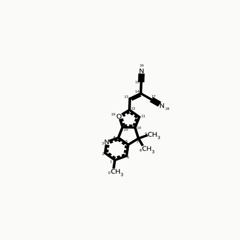 Cc1cnc2c(c1)C(C)(C)c1cc(C=C(C#N)C#N)oc1-2